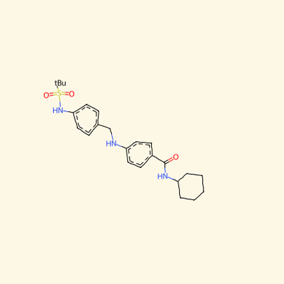 CC(C)(C)S(=O)(=O)Nc1ccc(CNc2ccc(C(=O)NC3CCCCC3)cc2)cc1